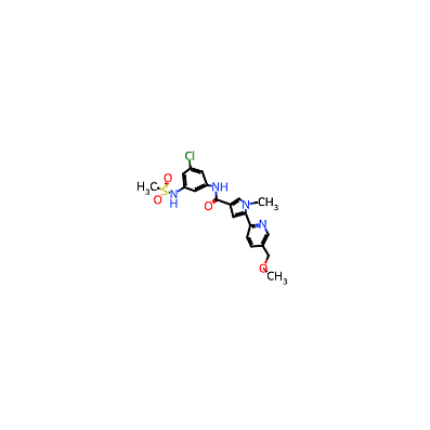 COCc1ccc(-c2cc(C(=O)Nc3cc(Cl)cc(NS(C)(=O)=O)c3)cn2C)nc1